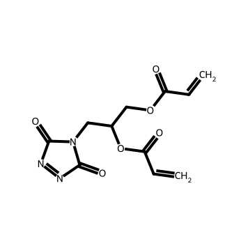 C=CC(=O)OCC(CN1C(=O)N=NC1=O)OC(=O)C=C